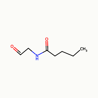 CCCCC(=O)NCC=O